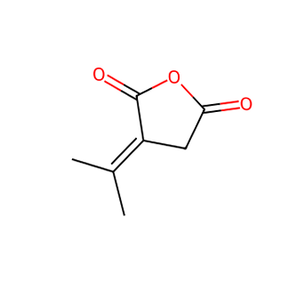 CC(C)=C1CC(=O)OC1=O